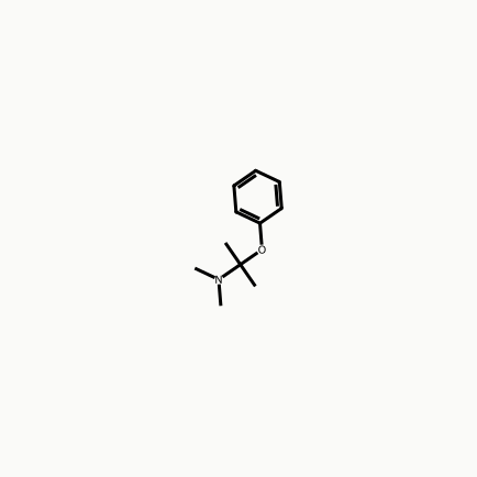 CN(C)C(C)(C)Oc1ccccc1